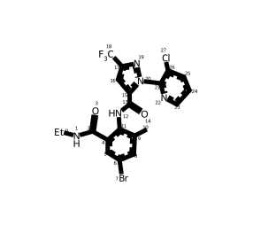 CCNC(=O)c1cc(Br)cc(C)c1NC(=O)c1cc(C(F)(F)F)nn1-c1ncccc1Cl